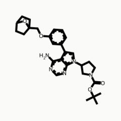 CC(C)(C)OC(=O)N1CCC(n2cc(-c3cccc(OCC45CCC(CC4)O5)c3)c3c(N)ncnc32)C1